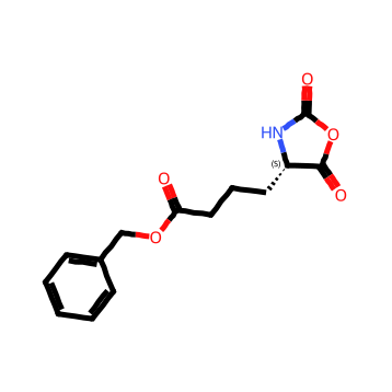 O=C(CCC[C@@H]1NC(=O)OC1=O)OCc1ccccc1